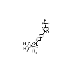 CC(C)(C)OC(=O)N1CC2(CC(c3nc(C(F)(F)F)no3)C2)C1